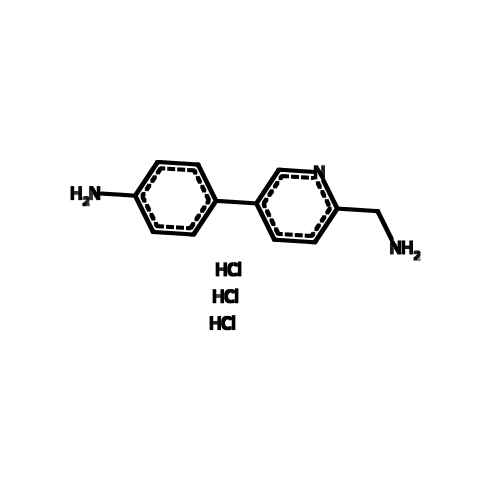 Cl.Cl.Cl.NCc1ccc(-c2ccc(N)cc2)cn1